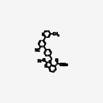 CCOc1nc2cccc(C(=O)OC)c2n1Cc1ccc(-c2cc(-c3cc(C)ccn3)ccc2C#N)cc1